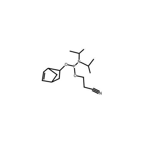 CC(C)N(C(C)C)P(OCCC#N)OC1CC2C=CC1C2